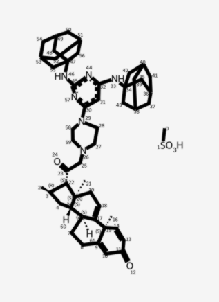 CS(=O)(=O)O.C[C@@H]1C[C@H]2[C@@H]3CCC4=CC(=O)C=C[C@]4(C)C3=CC[C@]2(C)[C@H]1C(=O)CN1CCN(c2cc(NC34CC5CC(CC(C5)C3)C4)nc(NC34CC5CC(CC(C5)C3)C4)n2)CC1